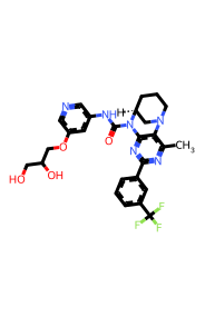 Cc1nc(-c2cccc(C(F)(F)F)c2)nc2c1N1CCC[C@@H](C1)N2C(=O)Nc1cncc(OCC(O)CO)c1